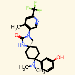 Cc1cc(C(F)(F)F)ncc1N1C[C@]2(CC[C@](c3cccc(O)c3)(N(C)C)CC2)NC1=O